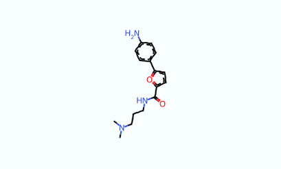 CN(C)CCCNC(=O)c1ccc(-c2ccc(N)cc2)o1